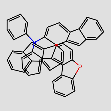 C1=CC2(C3=Cc4ccccc4C3=C1)C1=Cc3ccccc3C1=CC=C2N(c1ccccc1)c1ccccc1-c1cccc2oc3ccccc3c12